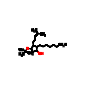 CC(C)=CCCC1C(O[Si](C)(C)C(C)(C)C)CC(O)C1CCCCCCC(=O)O